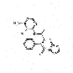 CC(Nc1ncnc(N)c1C#N)c1nc2cccn2c(=O)n1-c1ccccc1